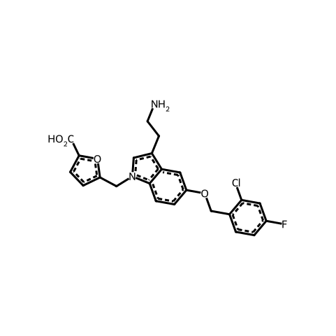 NCCc1cn(Cc2ccc(C(=O)O)o2)c2ccc(OCc3ccc(F)cc3Cl)cc12